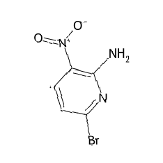 Nc1nc(Br)c[c]c1[N+](=O)[O-]